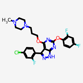 CN1CCN(CCCOc2nc(Oc3ccc(F)cc3F)nc3[nH]nc(-c4ccc(Cl)cc4F)c23)CC1